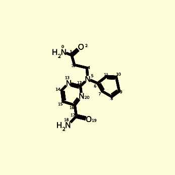 NC(=O)[CH]CN(c1ccccc1)c1nccc(C(N)=O)n1